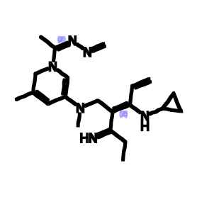 C=C/C(NC1CC1)=C(\CN(C)C1=CN(/C(C)=N\N=C)CC(C)=C1)C(=N)CC